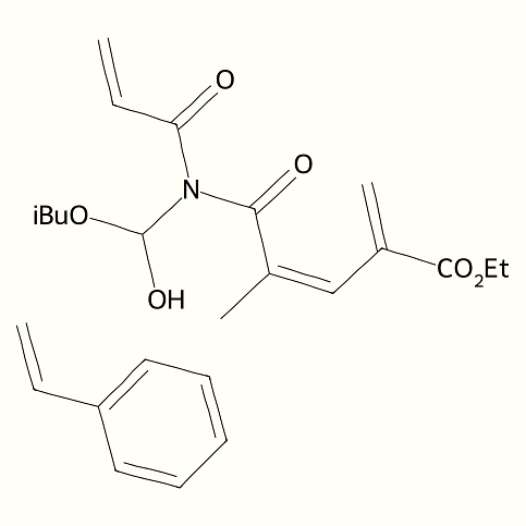 C=CC(=O)N(C(=O)C(C)=CC(=C)C(=O)OCC)C(O)OCC(C)C.C=Cc1ccccc1